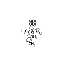 C/C(=C(\CCOP(=O)(O)O)SC(=O)c1ccc(Cl)s1)N(C=O)Cc1cnc(C)nc1N